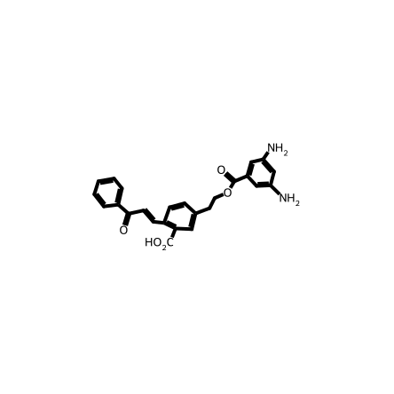 Nc1cc(N)cc(C(=O)OCCc2ccc(C=CC(=O)c3ccccc3)c(C(=O)O)c2)c1